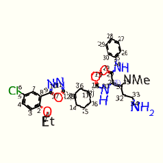 CCOc1ccc(Cl)cc1-c1nnc([C@H]2CCC[C@@H](C(=O)N/C(C(=O)Nc3ccccc3)=C(\CCN)NC)C2)o1